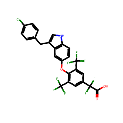 O=C(O)C(F)(F)c1cc(C(F)(F)F)c(Oc2ccc3[nH]cc(Cc4ccc(Cl)cc4)c3c2)c(C(F)(F)F)c1